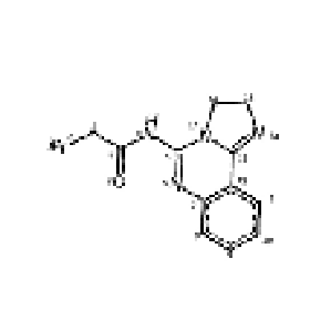 CC(C)CC(=O)NC1=Nc2ccccc2C2=NCCN12